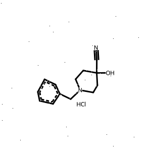 Cl.N#CC1(O)CCN(Cc2ccccc2)CC1